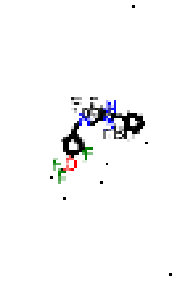 CCCCN(Cc1ccc(OC(F)F)c(F)c1)Cc1c(C(F)(F)F)nc(-c2ccccc2)n1CCCC